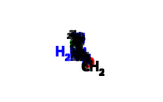 C=CC(=O)N1CC[C@H](n2nc(C#Cc3cc4ncn(C5CC5)c4cc3F)c3c(N)nccc32)C1